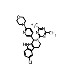 Cc1nc(C)nc(N2CCc3c([nH]c4ccc(Cl)cc34)C2c2ccc(N3CCOCC3)nc2)n1